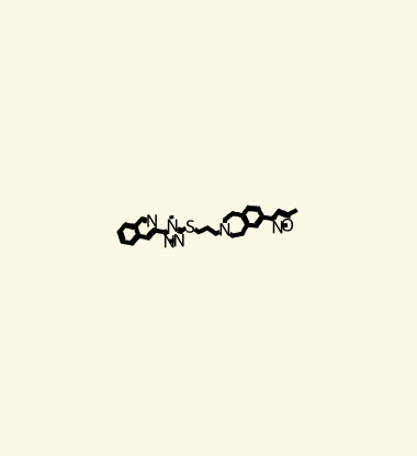 Cc1cc(-c2ccc3c(c2)CCN(CCCSc2nnc(-c4cc5ccccc5cn4)n2C)CC3)no1